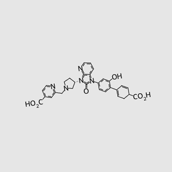 O=C(O)c1ccnc(CN2CC[C@H](n3c(=O)n(-c4ccc(C5=CCC(C(=O)O)C=C5)c(O)c4)c4cccnc43)C2)c1